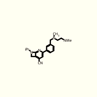 CNCCN(C)Cc1cccc(-c2cc(C#N)c3c(n2)N(C(C)C)C3)c1